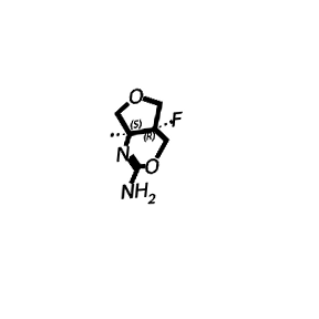 C[C@]12COC[C@@]1(F)COC(N)=N2